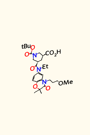 CCN(C(=O)[C@@H]1C[C@H](C(=O)O)CN(C(=O)OC(C)(C)C)C1)c1ccc2c(c1)N(CCCOC)C(=O)C(C)(C)O2